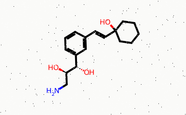 NC[C@@H](O)[C@@H](O)c1cccc(/C=C/C2(O)CCCCC2)c1